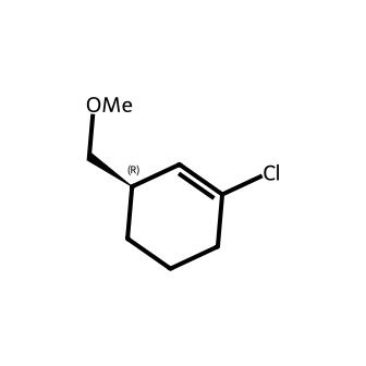 COC[C@H]1C=C(Cl)CCC1